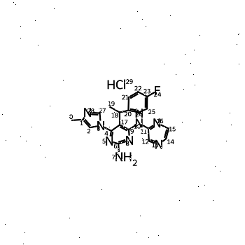 Cc1cn(-c2nc(N)nc(Nc3cnccn3)c2C(C)c2ccc(F)cc2)cn1.Cl